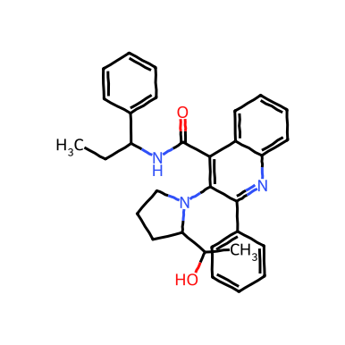 CCC(NC(=O)c1c(N2CCCC2C(C)O)c(-c2ccccc2)nc2ccccc12)c1ccccc1